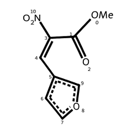 COC(=O)C(=Cc1ccoc1)[N+](=O)[O-]